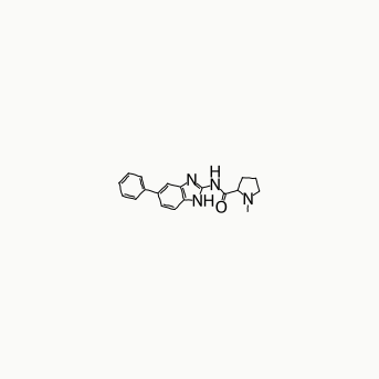 CN1CCCC1C(=O)Nc1nc2cc(-c3ccccc3)ccc2[nH]1